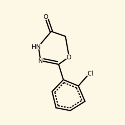 O=C1COC(c2ccccc2Cl)=NN1